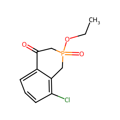 CCOP1(=O)CC(=O)c2cccc(Cl)c2C1